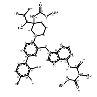 CC(C)(C)OC(=O)NC1(C(O)C(F)F)CCCN(c2cnc(-c3ccc(F)c(F)c3F)cc2Cn2cnc3c(OC(=O)N(C(=O)OC(C)(C)C)C(C)(C)C)ncnc32)C1